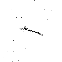 COC(=O)COCCCCCCCCCCCCBr